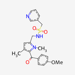 COc1ccc(C(=O)c2c(C)cc(CNS(=O)(=O)Cc3cccnc3)n2C)cc1